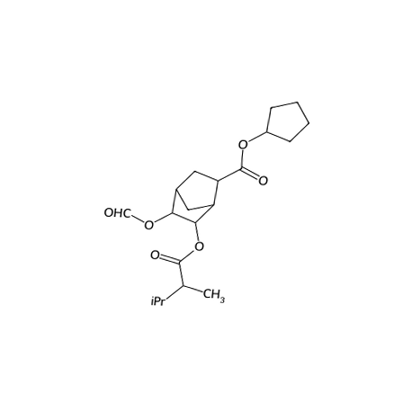 CC(C)C(C)C(=O)OC1C2CC(CC2C(=O)OC2CCCC2)C1OC=O